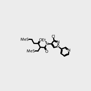 CCN(C(=O)C(CSC)C(=O)CCSC)c1cn(-c2cccnc2)nc1Cl